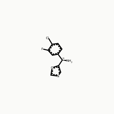 N[C@H](c1ccc(Cl)c(F)c1)c1cnco1